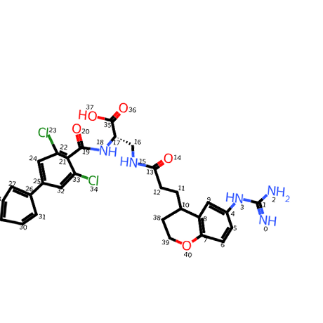 N=C(N)Nc1ccc2c(c1)C(CCC(=O)NC[C@H](NC(=O)c1c(Cl)cc(-c3ccccc3)cc1Cl)C(=O)O)CCO2